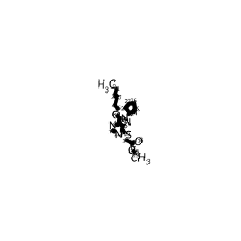 CCC=CCCOc1c2ncnc(SCC(=O)OCC)c2nn1-c1ccccc1